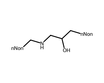 CCCCCCCCCCNCC(O)CCCCCCCCCC